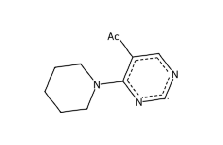 CC(=O)c1cn[c]nc1N1CCCCC1